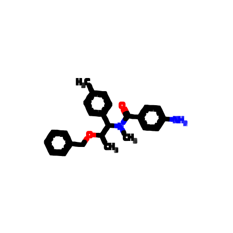 Cc1ccc(C(C(C)OCc2ccccc2)N(C)C(=O)c2ccc(N)cc2)cc1